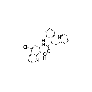 O=C(Nc1cc(Cl)c2cccnc2c1O)C(Cc1ccccn1)c1ccccc1